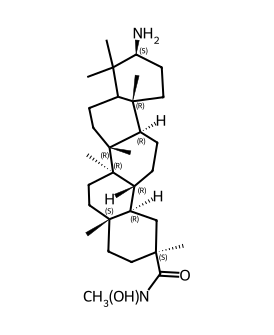 CN(O)C(=O)[C@@]1(C)CC[C@]2(C)CC[C@]3(C)[C@H](CC[C@@H]4[C@@]5(C)CC[C@H](N)C(C)(C)C5CC[C@]43C)[C@H]2C1